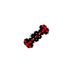 O=S12(c3cccc(-c4ccc(N5c6ccccc6Oc6ccccc65)cc4)c3-c3c(-c4ccc(N5c6ccccc6Oc6ccccc65)cc4)cccc31)c1cccc(-c3ccc(N4c5ccccc5Oc5ccccc54)cc3)c1-c1c(-c3ccc(N4c5ccccc5Oc5ccccc54)cc3)cccc12